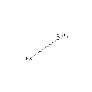 CCC=CCC=CCC=CCCCCCCCC(=O)OC